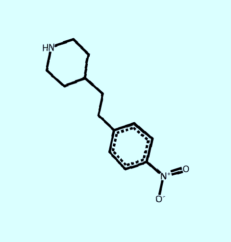 O=[N+]([O-])c1ccc(CCC2CCNCC2)cc1